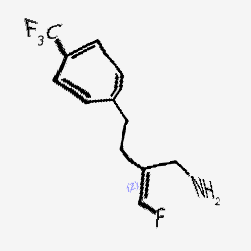 NC/C(=C\F)CCc1ccc(C(F)(F)F)cc1